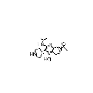 CC(=O)N1CCc2nc(N3CCNCC3)c(NC(C)C)nc2C1.Cl